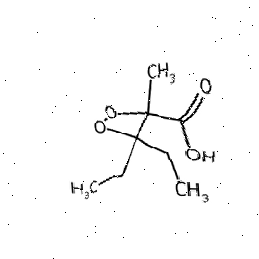 CCC1(CC)OOC1(C)C(=O)O